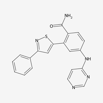 NC(=O)c1ccc(Nc2ccncn2)cc1-c1cc(-c2ccccc2)ns1